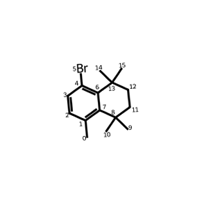 Cc1ccc(Br)c2c1C(C)(C)CCC2(C)C